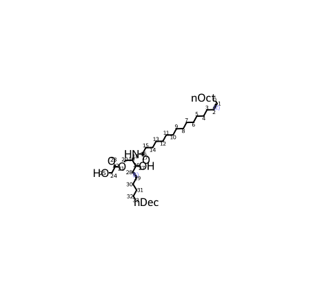 CCCCCCCC/C=C\CCCCCCCCCCCCCC(=O)NC(COC(=O)CO)C(O)/C=C/CCCCCCCCCCCCC